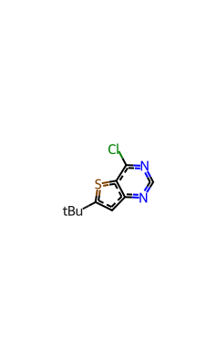 CC(C)(C)c1cc2ncnc(Cl)c2s1